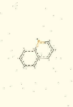 [c]1ccc2ccccc2p1